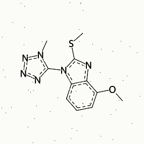 COc1cccc2c1nc(SC)n2-c1nnnn1C